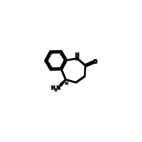 N[C@@H]1CCC(=O)Nc2ccccc21